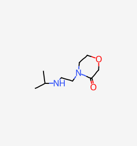 CC(C)NCCN1CCOCC1=O